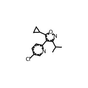 CC(C)c1noc(C2CC2)c1-c1ccc(Cl)cn1